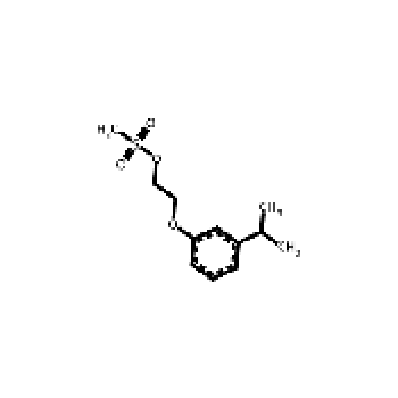 CC(C)c1cccc(OCCOS(C)(=O)=O)c1